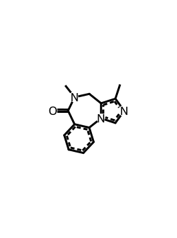 Cc1ncn2c1CN(C)C(=O)c1ccccc1-2